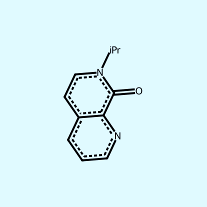 CC(C)n1ccc2cccnc2c1=O